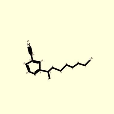 CC(CCCCCCI)c1cccc(C#N)c1